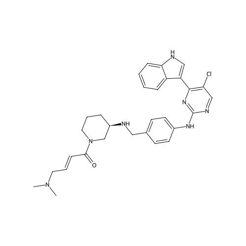 CN(C)C/C=C/C(=O)N1CCC[C@@H](NCc2ccc(Nc3ncc(Cl)c(-c4c[nH]c5ccccc45)n3)cc2)C1